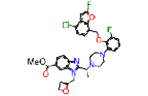 COC(=O)c1ccc2nc([C@H](C)N3CCN(c4cccc(F)c4OCc4ccc(Cl)c5cc(F)oc45)CC3)n(C[C@@H]3CCO3)c2c1